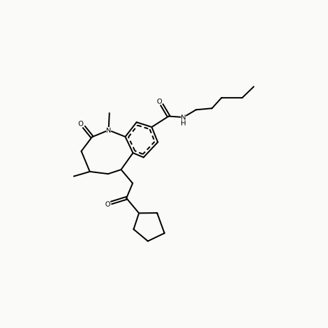 CCCCCNC(=O)c1ccc2c(c1)N(C)C(=O)CC(C)CC2CC(=O)C1CCCC1